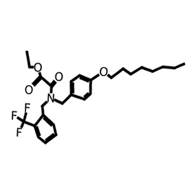 CCCCCCCCOc1ccc(CN(Cc2ccccc2C(F)(F)F)C(=O)C(=O)OCC)cc1